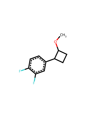 CO[C]1CCC1c1ccc(F)c(F)c1